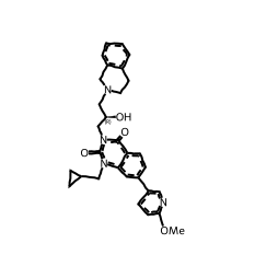 COc1ccc(-c2ccc3c(=O)n(C[C@H](O)CN4CCc5ccccc5C4)c(=O)n(CC4CC4)c3c2)cn1